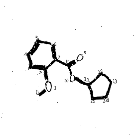 COc1ccccc1C(=O)OC1CCCC1